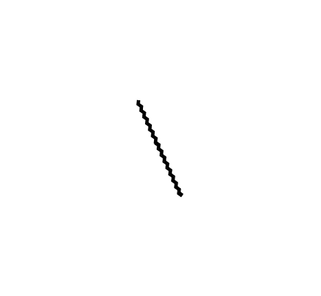 C=CCCCCCCCCCCCCCCC=CCCCCCCCCCCCCC